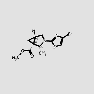 COC(=O)[C@]12C[C@H]1CN(c1nc(Br)cs1)[C@@H]2C